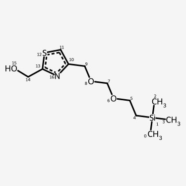 C[Si](C)(C)CCOCOCc1csc(CO)n1